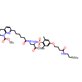 CNCCNC(=O)CCCOc1cc(C)c(S(=O)(=O)NC(CNC(=O)CCCCCc2ccc3c(n2)N(C(=O)OC(C)(C)C)CCC3)C(=O)OC)c(C)c1